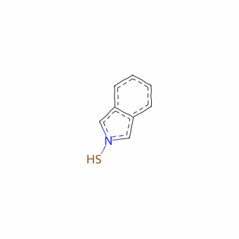 Sn1cc2ccccc2c1